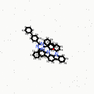 c1ccc(-c2ccc(-c3nc(-c4ccccc4)nc(-c4ccccc4-n4c5ccccc5c5ccc6c7ccccc7n(-c7cccc(-c8ccccc8)c7)c6c54)n3)cc2)cc1